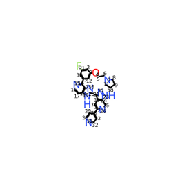 Fc1cc(OCCN2CCCC2)cc(-c2nccc3[nH]c(-c4n[nH]c5cnc(-c6ccncc6)cc45)nc23)c1